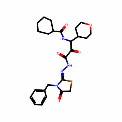 O=C(N/N=C1\SCC(=O)N1Cc1ccccc1)C(=O)C(NC(=O)C1CCCCC1)C1CCOCC1